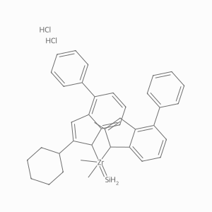 CC1=Cc2c(-c3ccccc3)cccc2[CH]1[Zr]([CH3])([CH3])(=[SiH2])[CH]1C(C2CCCCC2)=Cc2c(-c3ccccc3)cccc21.Cl.Cl